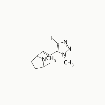 CN1C2C=C(c3c(I)nnn3C)CC1CC2